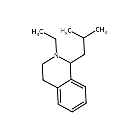 CCN1CCc2ccccc2C1CC(C)C